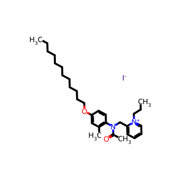 CCCCCCCCCCCCOc1ccc(N(Cc2cccc[n+]2CCC)C(C)=O)c(C)c1.[I-]